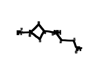 CC(C)CCNC1CN(C(C)C)C1